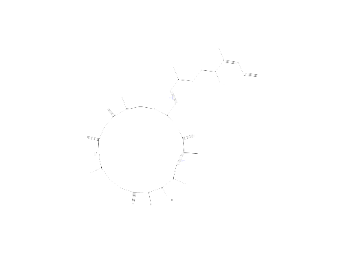 C=C/C=C(/C)C(O)CCC(C)/C=C/C1CCC(C)C(=O)CC(=O)NC(C)CCC(=O)C(C)C(O)C(C)/C=C(\C)C(=O)O1